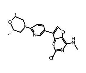 CNc1nc(Cl)nc2c(-c3ccc(N4C[C@@H](C)O[C@@H](C)C4)nc3)coc12